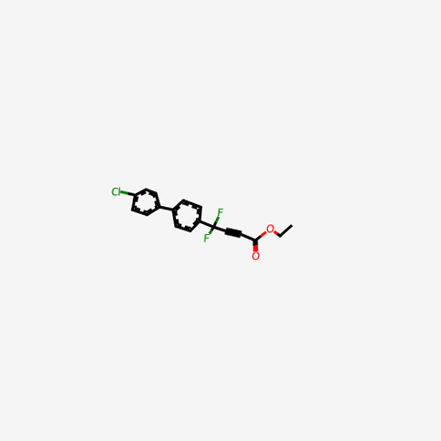 CCOC(=O)C#CC(F)(F)c1ccc(-c2ccc(Cl)cc2)cc1